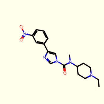 CCN1CCC(N(C)C(=O)n2cnc(-c3cccc([N+](=O)[O-])c3)c2)CC1